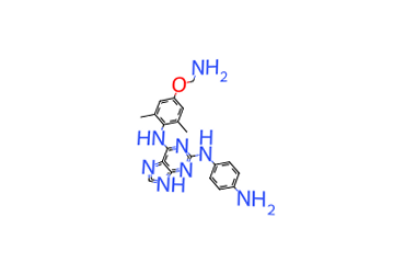 Cc1cc(OCN)cc(C)c1Nc1nc(Nc2ccc(N)cc2)nc2[nH]cnc12